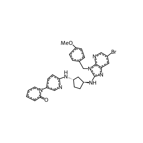 COc1ccc(Cn2c(N[C@H]3CC[C@H](Nc4ccc(-n5ccccc5=O)cn4)C3)nc3cc(Br)cnc32)cc1